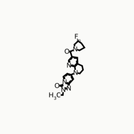 CCn1nc2cc(N3CCCc4cc(C(=O)N5CCC[C@@H](F)C5)cnc43)ccn2c1=O